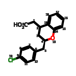 O=C(O)CC1C[C@H](Cc2ccc(Cl)cc2)Oc2ccccc21